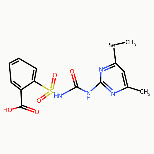 C[Se]c1cc(C)nc(NC(=O)NS(=O)(=O)c2ccccc2C(=O)O)n1